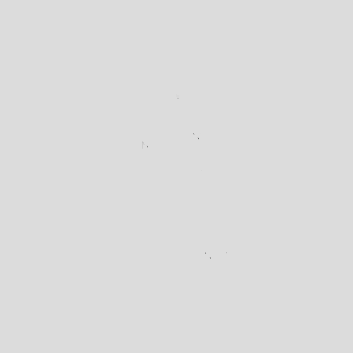 CN=C(N(C)c1ccc(NC(C)=O)cc1)C(C)(C)C